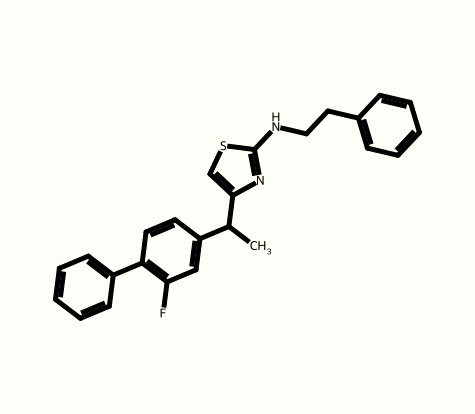 CC(c1ccc(-c2ccccc2)c(F)c1)c1csc(NCCc2ccccc2)n1